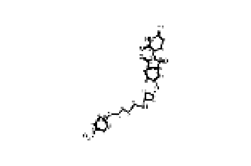 O=C1CCC(N2C(=O)c3ccc(O[C@H]4C[C@H](NCCCCOc5ccc([N+](=O)[O-])cn5)C4)cc3C2=O)C(=O)N1